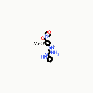 C=NN(/C=C(\N)c1n[nH]c2ccccc12)c1ccc(C(=O)N2CCOCC2)c(OC)c1